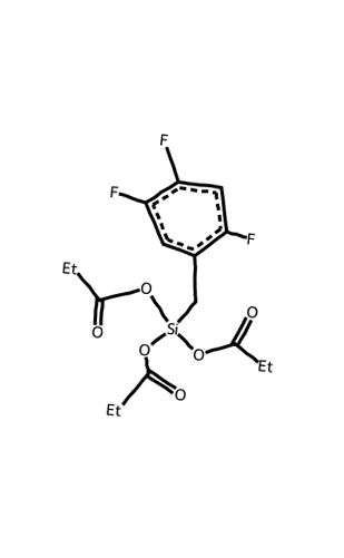 CCC(=O)O[Si](Cc1cc(F)c(F)cc1F)(OC(=O)CC)OC(=O)CC